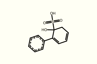 O=S(=O)(O)C1(O)CC=CC=C1c1ccccc1